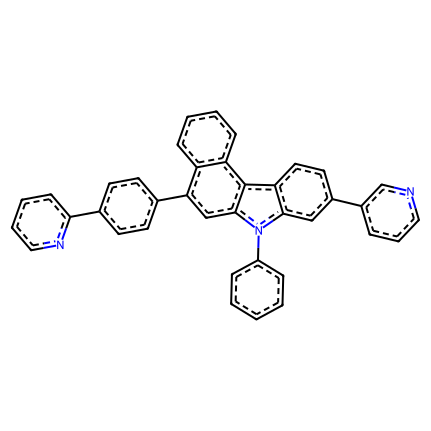 c1ccc(-n2c3cc(-c4cccnc4)ccc3c3c4ccccc4c(-c4ccc(-c5ccccn5)cc4)cc32)cc1